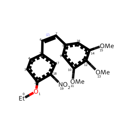 CCOc1ccc(/C=C\c2cc(OC)c(OC)c(OC)c2)cc1[N+](=O)[O-]